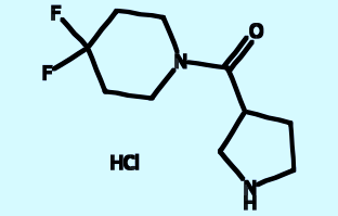 Cl.O=C(C1CCNC1)N1CCC(F)(F)CC1